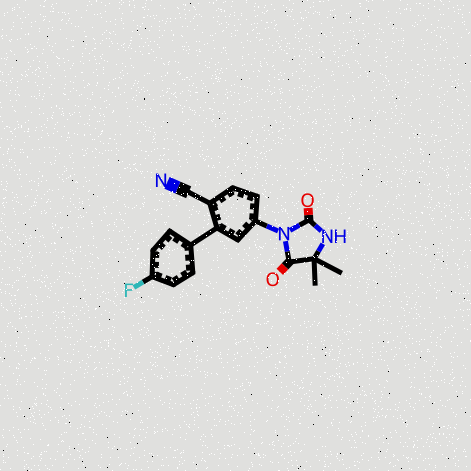 CC1(C)NC(=O)N(c2ccc(C#N)c(-c3ccc(F)cc3)c2)C1=O